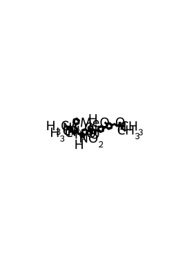 COc1cc(CCC(=O)N(C)C)ccc1-c1ccc(C(=O)NS(=O)(=O)c2ccc(N[C@@H](CSc3ccccc3)CN(C)CCN(C)C)c([N+](=O)[O-])c2)cc1